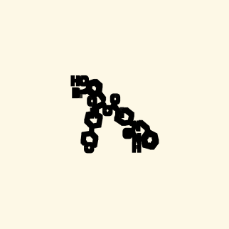 O=C(O[C@H](Cc1ccc(O)c(Br)c1)C(=O)N1CCC(C2CCOCC2)CC1)N1CCC(N2CCc3ccccc3NC2=O)CC1